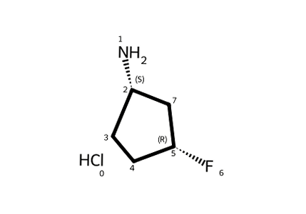 Cl.N[C@H]1CC[C@@H](F)C1